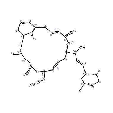 C=C1CC(=NOC)/C=C/CC(C(O)C=CC2CC(C)=CCO2)OC(=O)/C=C/CC2C=CCC(CC(C)C1)O2